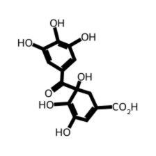 O=C(O)C1=CC(O)=C(O)C(O)(C(=O)c2cc(O)c(O)c(O)c2)C1